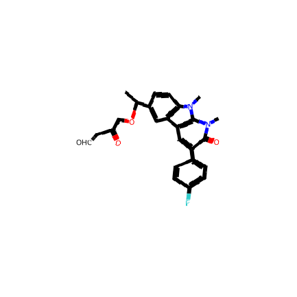 CC(OCC(=O)CC=O)c1ccc2c(c1)c1cc(-c3ccc(F)cc3)c(=O)n(C)c1n2C